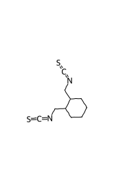 S=C=NCC1CCCCC1CN=C=S